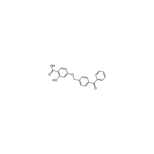 O=C(c1ccccc1)c1ccc(COc2ccc(C(=O)O)c(O)c2)cc1